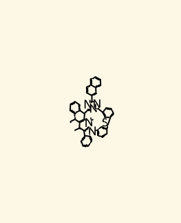 CC1C2=C3N(C)c4c(c5ccccc5n4-c4cccc5c4sc4c(cccc45)-c4nc(-c5ccc6ccccc6c5)nc(n4)C3(C)c3ccccc31)C2C